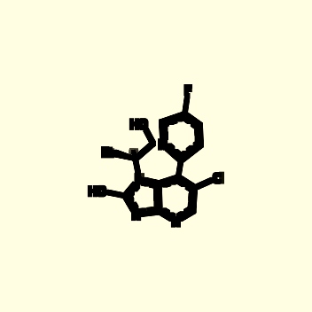 CC[C@@H](CO)n1c(O)nc2ncc(Cl)c(-c3ccc(F)cn3)c21